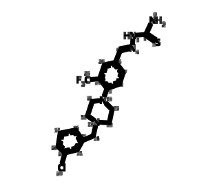 NC(=S)NN=Cc1ccc(N2CCN(Cc3cccc(Cl)c3)CC2)c(C(F)(F)F)c1